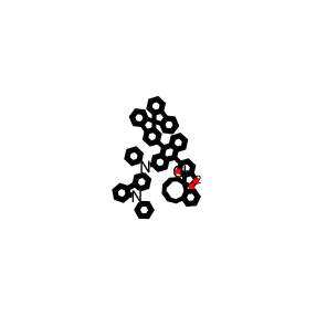 C=C1/C=C\C=C/Cc2ccccc2C12c1ccccc1-c1ccc(-c3c4ccccc4c(-c4ccc5c(c4)C4(c6ccccc6-c6ccccc64)c4ccccc4-5)c4cc(N(c5ccccc5)c5ccc6c(c5)c5ccccc5n6-c5ccccc5)ccc34)cc12